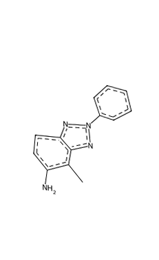 Cc1c(N)ccc2nn(-c3ccccc3)nc12